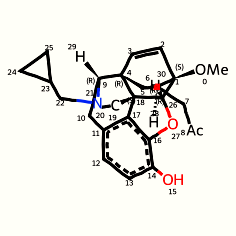 CO[C@]12C=C[C@@]3(C[C@@H]1CC(C)=O)[C@H]1Cc4ccc(O)c5c4[C@@]3(CCN1CC1CC1)[C@H]2O5